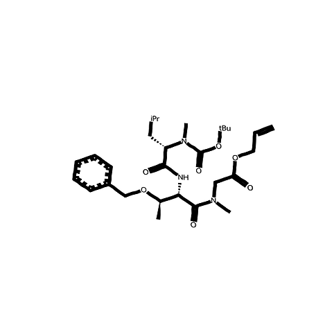 C=CCOC(=O)CN(C)C(=O)[C@@H](NC(=O)[C@H](CC(C)C)N(C)C(=O)OC(C)(C)C)[C@@H](C)OCc1ccccc1